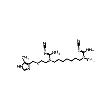 Cc1[nH]cnc1CSCCN(CCCCCCCN(C)C(N)=NC#N)C(N)=NC#N